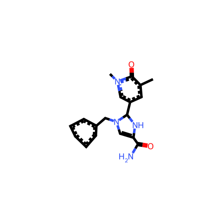 Cc1cc(C2NC(C(N)=O)=CN2Cc2ccccc2)cn(C)c1=O